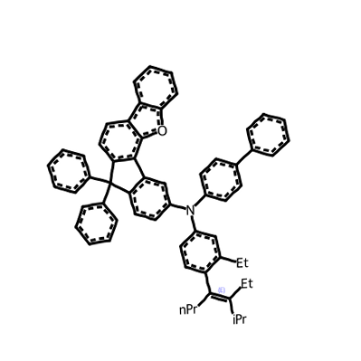 CCC/C(=C(/CC)C(C)C)c1ccc(N(c2ccc(-c3ccccc3)cc2)c2ccc3c(c2)-c2c(ccc4c2oc2ccccc24)C3(c2ccccc2)c2ccccc2)cc1CC